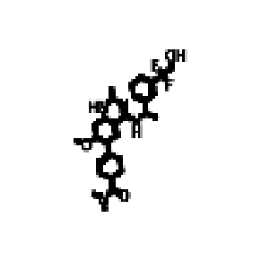 COC1CC2NC(C)N=C(NC(C)C3=CCCC(C(F)(F)CO)=C3)C2=CC1C1=CCC(C(=O)N(C)C)CC1